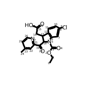 CCOC(=O)N1c2cc(Cl)ccc2C(CC(=O)O)C1C(=O)c1cc(C)ccn1